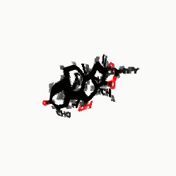 CCCC1O[C@@H]2C[C@H]3[C@@H]4CCC5=CC(=O)C(C=O)C[C@]5(C)[C@H]4[C@@H](O)C[C@]3(C)[C@]2(C(=O)O)O1